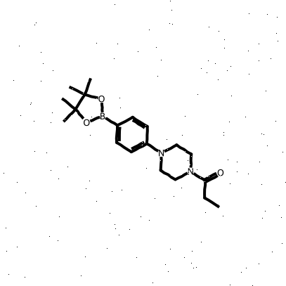 CCC(=O)N1CCN(c2ccc(B3OC(C)(C)C(C)(C)O3)cc2)CC1